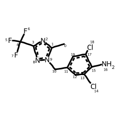 Cc1nc(C(F)(F)F)nn1Cc1cc(Cl)c(N)c(Cl)c1